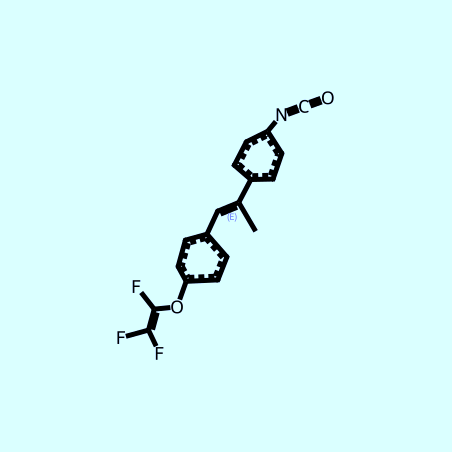 C/C(=C\c1ccc(OC(F)=C(F)F)cc1)c1ccc(N=C=O)cc1